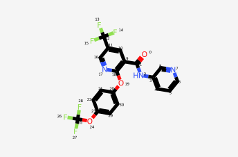 O=C(Nc1cccnc1)c1cc(C(F)(F)F)cnc1Oc1ccc(OC(F)(F)F)cc1